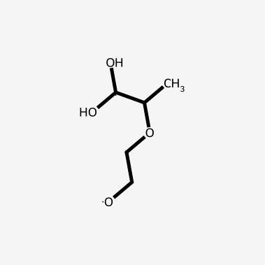 CC(OCC[O])[C](O)O